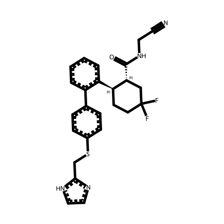 N#CCNC(=O)[C@@H]1CC(F)(F)CC[C@H]1c1ccccc1-c1ccc(SCc2ncc[nH]2)cc1